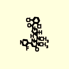 CN(c1nc(-c2ccncc2F)cc(=O)n1C)[C@H]1[C@@H]2CN(C(=O)c3c(Cl)cccc3Cl)C[C@@H]21